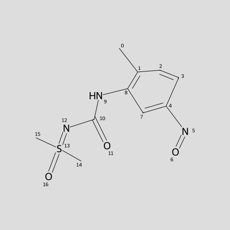 Cc1ccc(N=O)cc1NC(=O)N=S(C)(C)=O